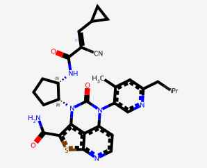 Cc1cc(CC(C)C)ncc1N1C(=O)N([C@@H]2CCC[C@@H]2NC(=O)/C(C#N)=C/C2CC2)c2c(C(N)=O)sc3nccc1c23